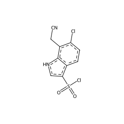 N#CCc1c(Cl)ccc2c(S(=O)(=O)Cl)c[nH]c12